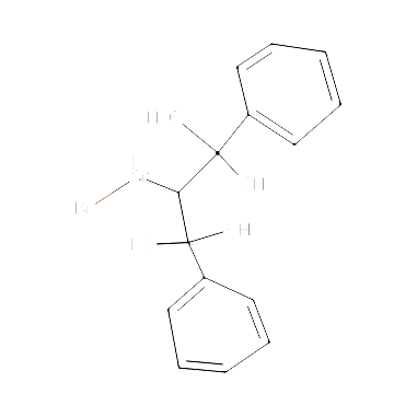 CC(C)(c1ccccc1)C([SiH2]Br)C(C)(C)c1ccccc1